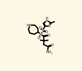 Cc1nc(S(=O)(=O)[N+]([O-])(C(=O)C(C)(C)CC(N)=O)C2CCCNCC2)c[nH]1